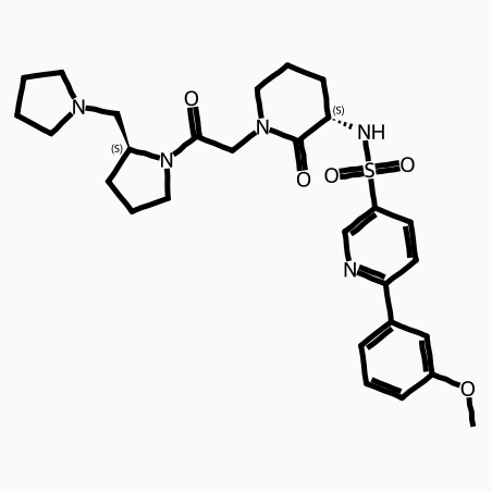 COc1cccc(-c2ccc(S(=O)(=O)N[C@H]3CCCN(CC(=O)N4CCC[C@H]4CN4CCCC4)C3=O)cn2)c1